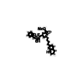 COCC(F)CN(CCCCc1ccc2c(n1)NCCC2)CCC(NC(=O)OCc1ccccc1)C(=O)O.Cl